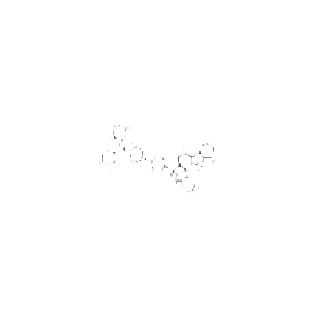 c1ccc(N(c2ccccc2)c2ccc(-c3ccc(-c4nc5ccccc5c5c4ccc4c6ccccc6sc45)cc3)cc2)cc1